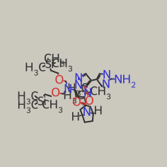 CC(C)(C)OC(=O)N1[C@@H]2CC[C@H]1C[C@H](c1cc(N(COCC[Si](C)(C)C)COCC[Si](C)(C)C)n3ncc(-c4cnc(N)nc4)c3n1)C2